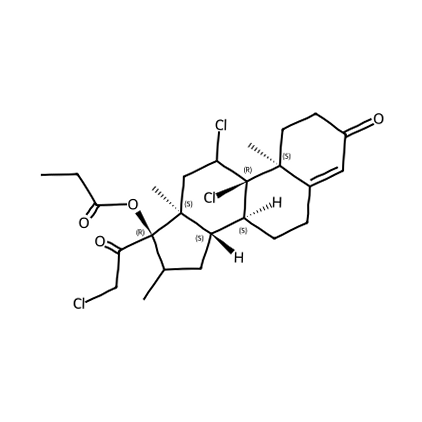 CCC(=O)O[C@]1(C(=O)CCl)C(C)C[C@H]2[C@@H]3CCC4=CC(=O)CC[C@]4(C)[C@@]3(Cl)C(Cl)C[C@@]21C